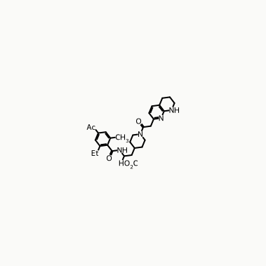 CCc1cc(C(C)=O)cc(C)c1C(=O)NC(CC1CCN(C(=O)Cc2ccc3c(n2)NCCC3)CC1)C(=O)O